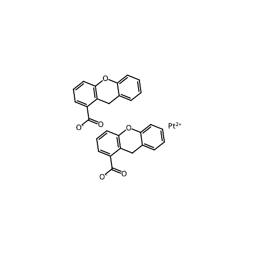 O=C([O-])c1cccc2c1Cc1ccccc1O2.O=C([O-])c1cccc2c1Cc1ccccc1O2.[Pt+2]